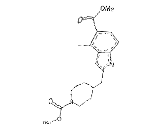 COC(=O)c1ccc2nn(CC3CCN(C(=O)OC(C)(C)C)CC3)cc2c1C